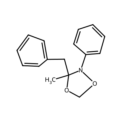 CC1(Cc2ccccc2)OCON1c1ccccc1